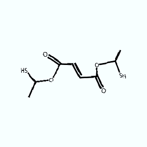 CC(S)OC(=O)/C=C/C(=O)OC(C)S